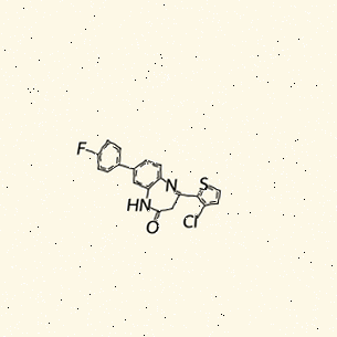 O=C1CC(c2sccc2Cl)=Nc2ccc(-c3ccc(F)cc3)cc2N1